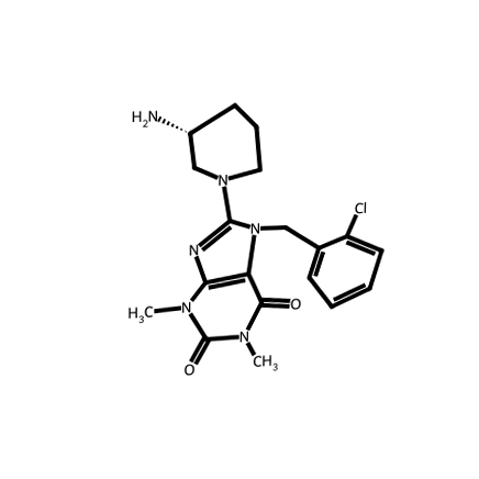 Cn1c(=O)c2c(nc(N3CCC[C@@H](N)C3)n2Cc2ccccc2Cl)n(C)c1=O